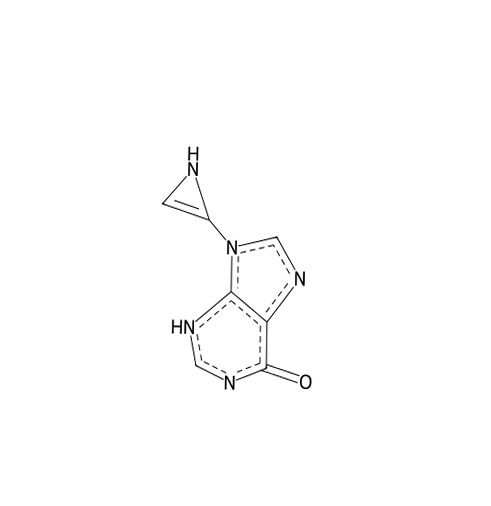 O=c1nc[nH]c2c1ncn2C1=CN1